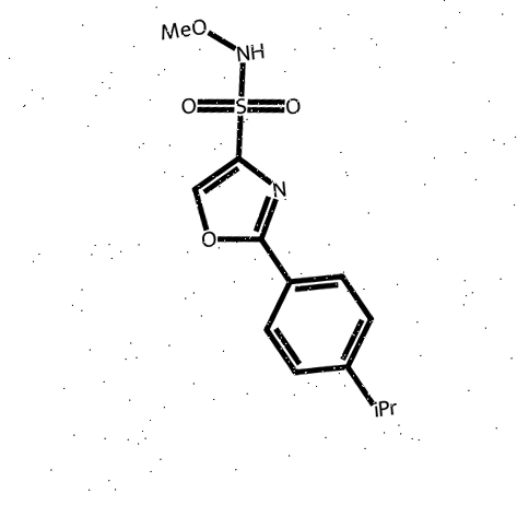 CONS(=O)(=O)c1coc(-c2ccc(C(C)C)cc2)n1